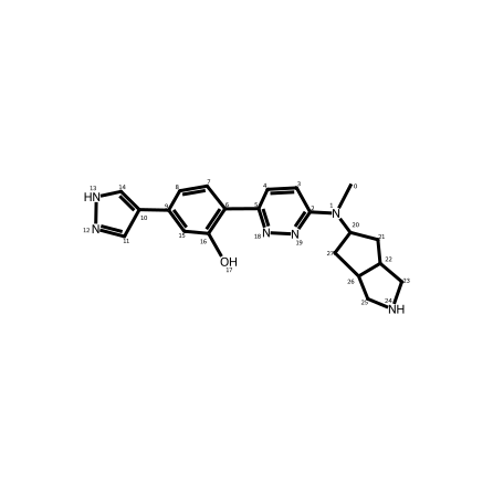 CN(c1ccc(-c2ccc(-c3cn[nH]c3)cc2O)nn1)C1CC2CNCC2C1